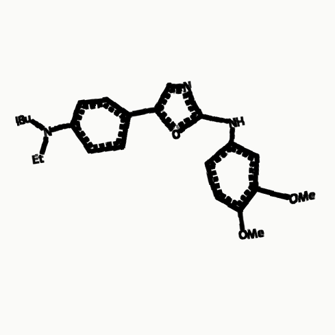 CCC(C)N(CC)c1ccc(-c2cnc(Nc3ccc(OC)c(OC)c3)o2)cc1